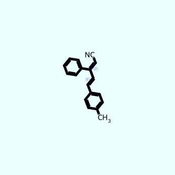 Cc1ccc(/C=C/C(=C/C#N)c2ccccc2)cc1